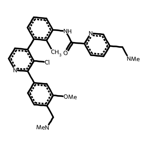 CNCc1ccc(C(=O)Nc2cccc(-c3ccnc(-c4ccc(CNC)c(OC)c4)c3Cl)c2C)nc1